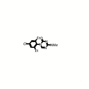 CCc1cc(Cl)cc(CC)c1-n1cnc(NC)nc1=O